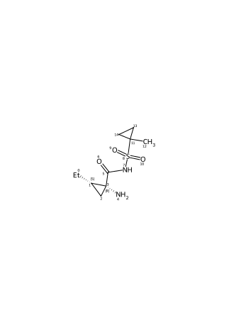 CC[C@H]1C[C@]1(N)C(=O)NS(=O)(=O)C1(C)CC1